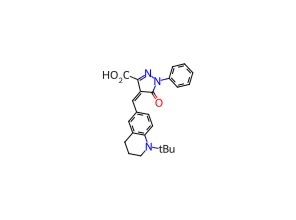 CC(C)(C)N1CCCc2cc(/C=C3\C(=O)N(c4ccccc4)N=C3C(=O)O)ccc21